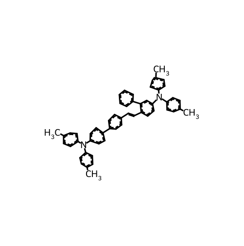 Cc1ccc(N(c2ccc(C)cc2)c2ccc(-c3ccc(C=Cc4ccc(N(c5ccc(C)cc5)c5ccc(C)cc5)cc4-c4ccccc4)cc3)cc2)cc1